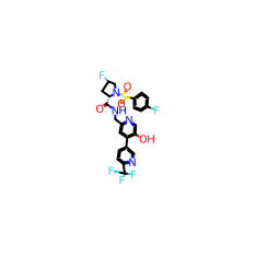 O=C(NCc1cc(-c2ccc(C(F)(F)F)nc2)c(O)cn1)[C@@H]1C[C@@H](F)CN1S(=O)(=O)c1ccc(F)cc1